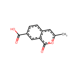 Cc1cc2ccc(C(=O)O)cc2c(=O)o1